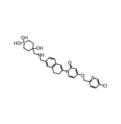 O=c1cc(OCc2ccc(Cl)cn2)ccn1C1=Cc2ccc(CNCC3(O)CCS(O)(O)CC3)cc2CC1